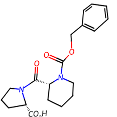 O=C(O)[C@@H]1CCCN1C(=O)[C@H]1CCCCN1C(=O)OCc1ccccc1